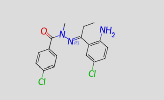 CC/C(=N\N(C)C(=O)c1ccc(Cl)cc1)c1cc(Cl)ccc1N